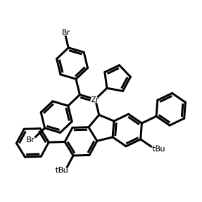 CC(C)(C)c1cc2c(cc1-c1ccccc1)[CH]([Zr](=[C](c1ccc(Br)cc1)c1ccc(Br)cc1)[CH]1C=CC=C1)c1cc(-c3ccccc3)c(C(C)(C)C)cc1-2